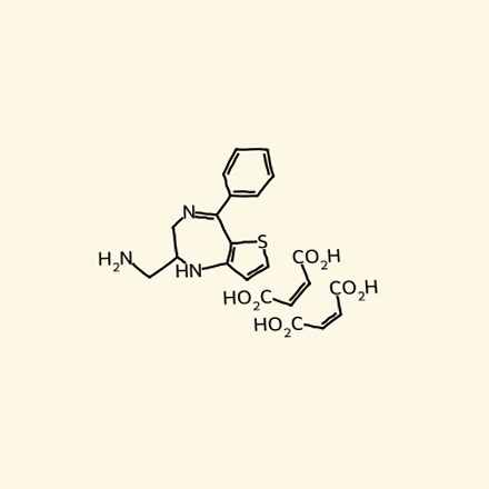 NCC1CN=C(c2ccccc2)c2sccc2N1.O=C(O)/C=C\C(=O)O.O=C(O)/C=C\C(=O)O